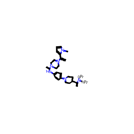 C=C(Nc1ccc(N2CCC(C(=C)N(CCC)CCC)CC2)cc1)N1CCN(C(=C)c2cccn2C)CC1